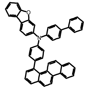 c1ccc(-c2ccc(N(c3ccc(-c4cccc5ccc6c7ccccc7ccc6c45)cc3)c3ccc4c(c3)oc3ccccc34)cc2)cc1